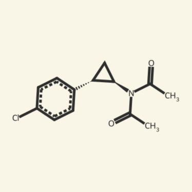 CC(=O)N(C(C)=O)[C@@H]1C[C@H]1c1ccc(Cl)cc1